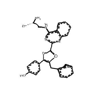 CC[C@H](N)CNc1nc(C2OC(Cc3ccccc3)=C(c3ccc(O)cc3)O2)nc2ccccc12